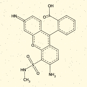 CNS(=O)(=O)c1c(N)ccc2c(-c3ccccc3C(=O)O)c3ccc(=N)cc-3oc12